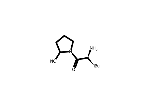 CC[C@H](C)[C@H](N)C(=O)N1CCCC1C#N